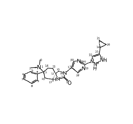 CN(C)[C@]1(c2ccccc2)CC[C@]2(CC1)CN(c1cnc(N3C=C(C4CC4)NN3)nc1)C(=O)N2